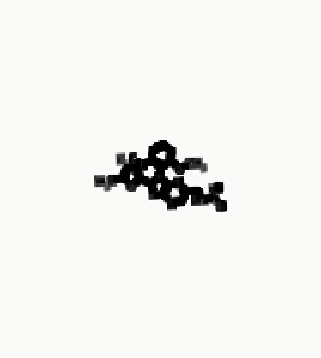 COc1cccc(OC)c1-n1c(-c2ccc(C)o2)nc2ncc(CN[SH](=O)=O)nc21